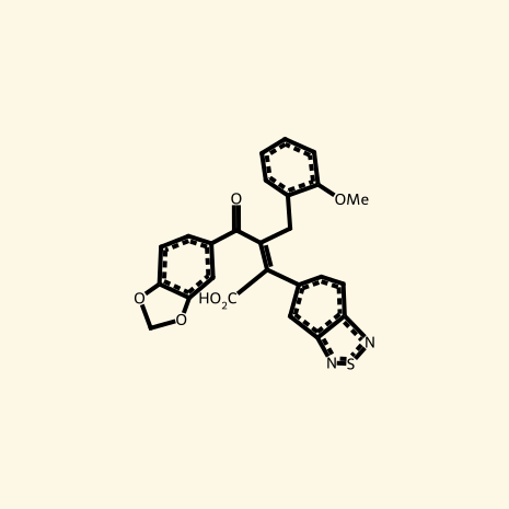 COc1ccccc1CC(C(=O)c1ccc2c(c1)OCO2)=C(C(=O)O)c1ccc2nsnc2c1